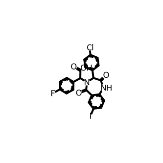 O=C(O)C(c1ccc(F)cc1)N1C(=O)c2cc(I)ccc2NC(=O)C1c1ccc(Cl)cc1